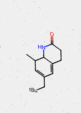 CC1C=C(CC(C)(C)C)C=C2CCC(=O)NC21